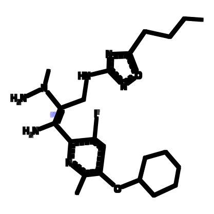 CCCCc1nc(NC/C(=C(/N)c2nc(C)c(OC3CCCCC3)cc2F)N(C)N)no1